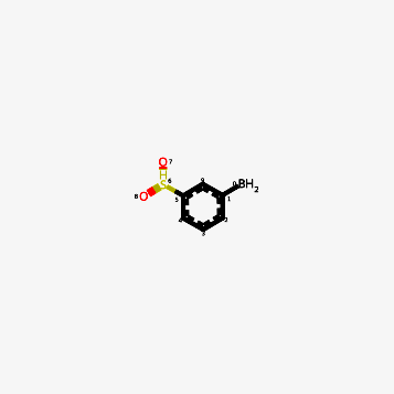 Bc1cccc([SH](=O)=O)c1